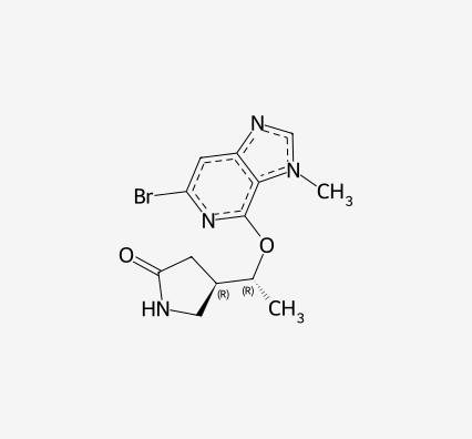 C[C@@H](Oc1nc(Br)cc2ncn(C)c12)[C@H]1CNC(=O)C1